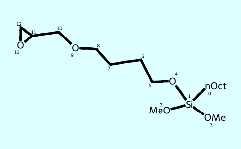 CCCCCCCC[Si](OC)(OC)OCCCCOCC1CO1